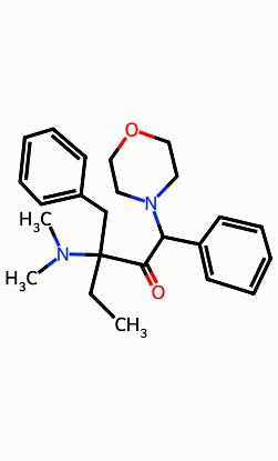 CCC(Cc1ccccc1)(C(=O)C(c1ccccc1)N1CCOCC1)N(C)C